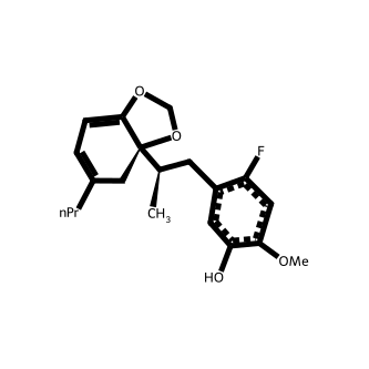 CCCC1=CC=C2OCO[C@@]2([C@H](C)Cc2cc(O)c(OC)cc2F)C1